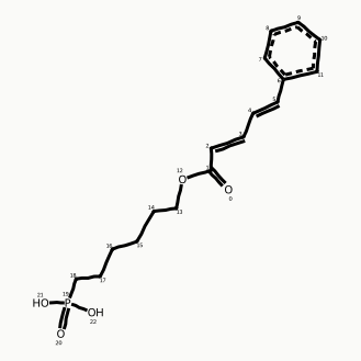 O=C(/C=C/C=C/c1ccccc1)OCCCCCCP(=O)(O)O